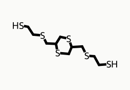 SCCSCC1CSC(CSCCS)CS1